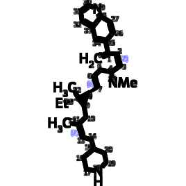 C=C(/C=C\C(C/C=C/[C@H]1C(C/C(C)=C\CC2CCNCC2)[C@]1(C)CC)NC)c1ccc2ncccc2c1